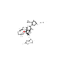 COCOc1cc(Cl)c(C2CC2)c(-c2nc3c4c(nc(OC[C@]56CCCN5C[C@H](F)C6)nc4c2F)N2C[C@H]4CC[C@@H]([C@@H]2CO3)N4C(=O)OC(C)(C)C)c1